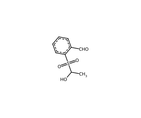 CC(O)S(=O)(=O)c1ccccc1C=O